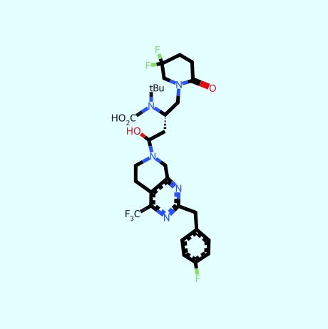 CC(C)(C)N(C(=O)O)[C@@H](CC(O)N1CCc2c(nc(Cc3ccc(F)cc3)nc2C(F)(F)F)C1)CN1CC(F)(F)CCC1=O